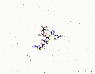 CC(OC(=O)C1=C(CSc2nnnn2CCN(C)C)CS[C@@H]2[C@H](NC(=O)Cc3csc(N)n3)C(=O)N12)OC(=O)C(C)(C)C